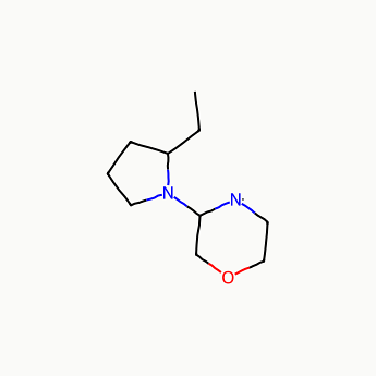 CCC1CCCN1C1COCC[N]1